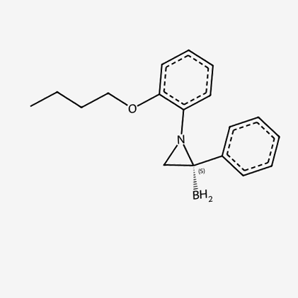 B[C@]1(c2ccccc2)CN1c1ccccc1OCCCC